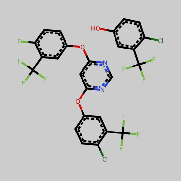 Fc1ccc(Oc2cc(Oc3ccc(Cl)c(C(F)(F)F)c3)ncn2)cc1C(F)(F)F.Oc1ccc(Cl)c(C(F)(F)F)c1